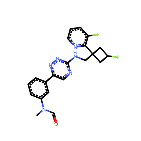 CN(C=O)c1cccc(-c2cnc(NCC3(c4ncccc4F)CC(F)C3)nn2)c1